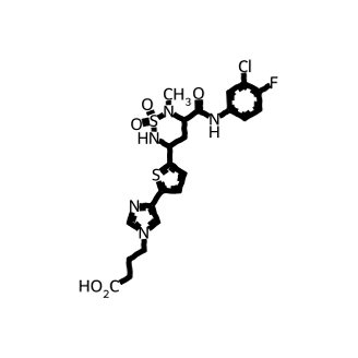 CN1C(C(=O)Nc2ccc(F)c(Cl)c2)CC(c2ccc(-c3cn(CCCC(=O)O)cn3)s2)NS1(=O)=O